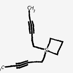 CC#CC[Si]1(CC#CC)CCC1